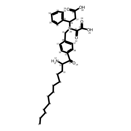 CCCCCCCCCCCC(N)C(=O)c1ccc(CN(C(=O)C(=O)O)C(CC(=O)O)c2ccccc2)cc1